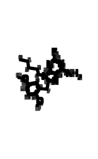 CCCCCn1c(Cc2cc(OC)ccc2OC)nc2c(N)nc(F)nc21